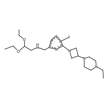 CCOC(CNCc1ccc(F)c(N2CC(N3CCN(CC)CC3)C2)n1)OCC